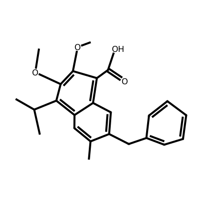 COc1c(OC)c(C(C)C)c2cc(C)c(Cc3ccccc3)cc2c1C(=O)O